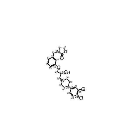 O=C1OCCN1Cc1cccc(OCC(O)CN2CCC(c3ccc(Cl)c(Cl)c3)CC2)c1